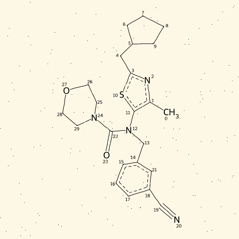 Cc1nc(CC2CCCC2)sc1N(Cc1cccc(C#N)c1)C(=O)N1CCOCC1